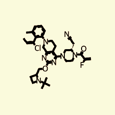 C=C(F)C(=O)N1CCN(c2nc(OCC3CCN3C(C)(C)C)nc3c2CCN(c2cccc(C)c2/C(Cl)=C\C)C3)C[C@@H]1CC#N